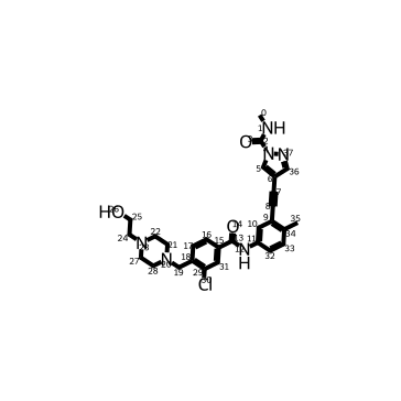 CNC(=O)n1cc(C#Cc2cc(NC(=O)c3ccc(CN4CCN(CCO)CC4)c(Cl)c3)ccc2C)cn1